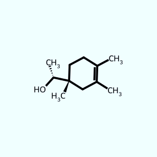 CC1=C(C)C[C@](C)([C@@H](C)O)CC1